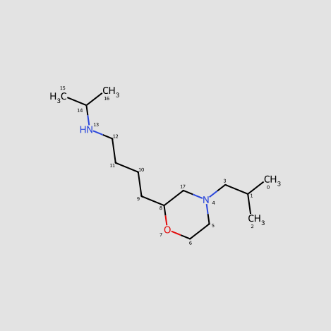 CC(C)CN1CCOC(CCCCNC(C)C)C1